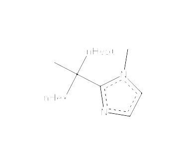 CCCCCCCC(C)(CCCCCC)c1nccn1C